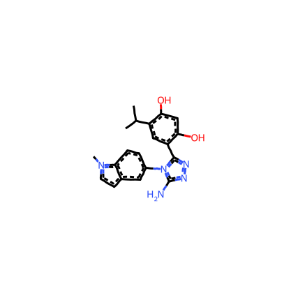 CC(C)c1cc(-c2nnc(N)n2-c2ccc3c(ccn3C)c2)c(O)cc1O